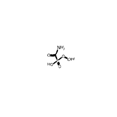 NC(=O)P(=O)(O)OO